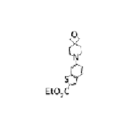 CCOC(=O)c1cc2ccc(N3CCC4(CC3)COC4)cc2s1